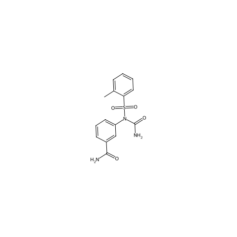 Cc1ccccc1S(=O)(=O)N(C(N)=O)c1cccc(C(N)=O)c1